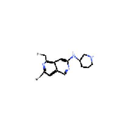 CC(C)Cc1nc(C#N)cc2cnc(NC3CCCNC3)cc12